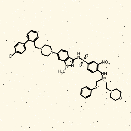 Cn1nc(NS(=O)(=O)c2ccc(N[C@H](CCN3CCOCC3)CSc3ccccc3)c([N+](=O)[O-])c2)c2ccc(N3CCN(Cc4ccccc4-c4ccc(Cl)cc4)CC3)cc21